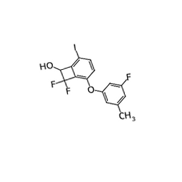 Cc1cc(F)cc(Oc2ccc(I)c3c2C(F)(F)C3O)c1